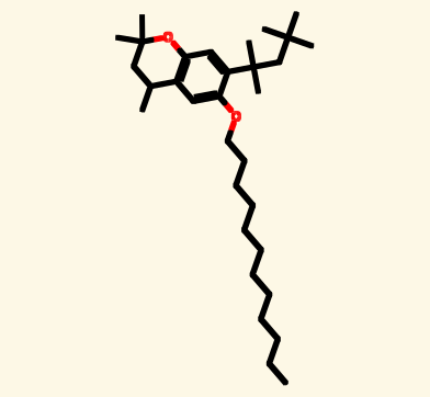 CCCCCCCCCCCCOc1cc2c(cc1C(C)(C)CC(C)(C)C)OC(C)(C)CC2C